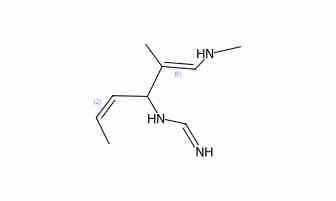 C/C=C\C(NC=N)/C(C)=C/NC